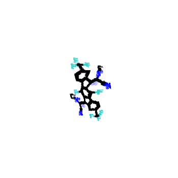 [C-]#[N+]/C(C#N)=C1/c2cc(C(F)(F)F)ccc2-c2c(F)c3c(c(F)c21)-c1ccc(C(F)(F)F)cc1/C3=C(/C#N)[N+]#[C-]